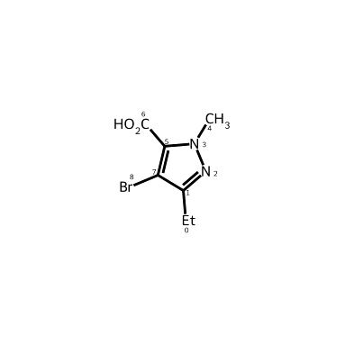 CCc1nn(C)c(C(=O)O)c1Br